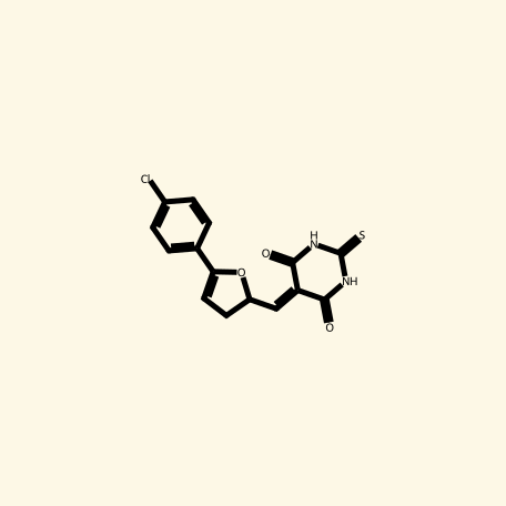 O=C1NC(=S)NC(=O)C1=CC1CC=C(c2ccc(Cl)cc2)O1